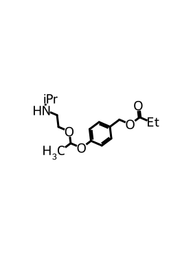 CCC(=O)OCc1ccc(OC(C)OCCNC(C)C)cc1